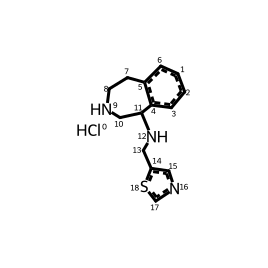 Cl.c1ccc2c(c1)CCNCC2NCc1cncs1